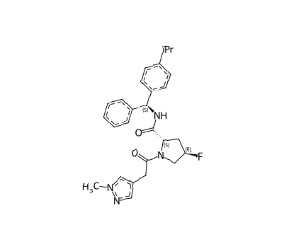 CC(C)c1ccc([C@@H](NC(=O)[C@@H]2C[C@@H](F)CN2C(=O)Cc2cnn(C)c2)c2ccccc2)cc1